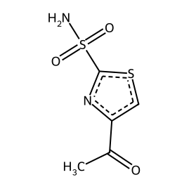 CC(=O)c1csc(S(N)(=O)=O)n1